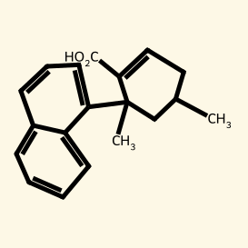 CC1CC=C(C(=O)O)C(C)(c2cccc3ccccc23)C1